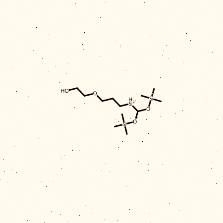 C[Si](C)(C)OC(O[Si](C)(C)C)[SiH2]CCCOCCO